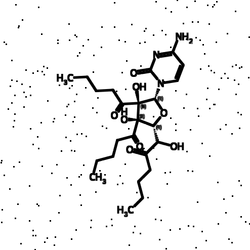 CCCCC(=O)C(O)[C@H]1O[C@@H](n2ccc(N)nc2=O)[C@@](O)(C(=O)CCCC)[C@@]1(O)C(=O)CCCC